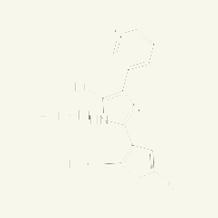 CCc1[nH]c(-c2cc(Cl)sc2S(=O)(=O)O)nc1-c1cccnc1.Cl.Cl